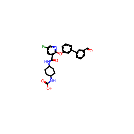 O=Cc1cccc(-c2cccc(Oc3ncc(F)cc3C(=O)NC3CCC(NC(=O)O)CC3)c2)c1